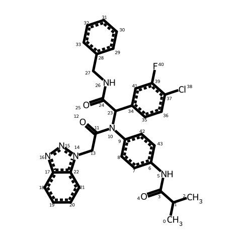 CC(C)C(=O)Nc1ccc(N(C(=O)Cn2nnc3ccccc32)C(C(=O)NCc2ccccc2)c2ccc(Cl)c(F)c2)cc1